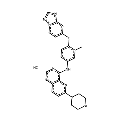 Cc1cc(Nc2ncnc3ccc(N4CCNCC4)nc23)ccc1Oc1ccn2ncnc2c1.Cl